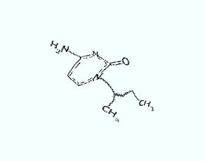 CCC(C)n1ccc(N)nc1=O